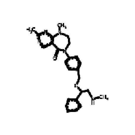 CNCC(OCc1ccc(N2CCN(C)c3nc(C)ncc3C2=O)cc1)c1ccccc1